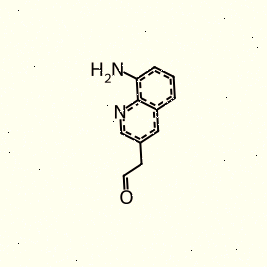 Nc1cccc2cc(CC=O)cnc12